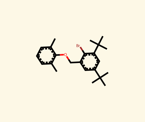 Cc1cccc(C)c1OCc1cc(C(C)(C)C)cc(C(C)(C)C)c1Br